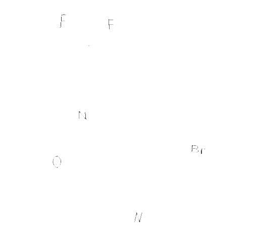 O=C(c1cncc(Br)c1)N1CCC(F)(F)CC1